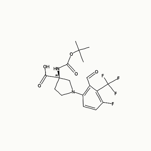 CC(C)(C)OC(=O)N[C@]1(C(=O)O)CCN(c2ccc(F)c(C(F)(F)F)c2C=O)C1